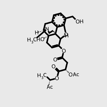 CC(=O)O[C@@H](CC(=O)OC1=CC[C@@]2(O)[C@H]3Cc4ccc(CO)c5c4[C@@]2(CCN3C)[C@H]1O5)C(=O)O[C@@H](C)C(C)=O